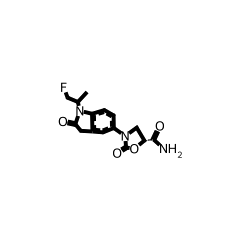 CC(CF)N1C(=O)Cc2cc(N3C[C@H](C(N)=O)OC3=O)ccc21